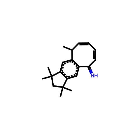 CC1/C=C\C=C/C(=N)c2cc3c(cc21)C(C)(C)CC3(C)C